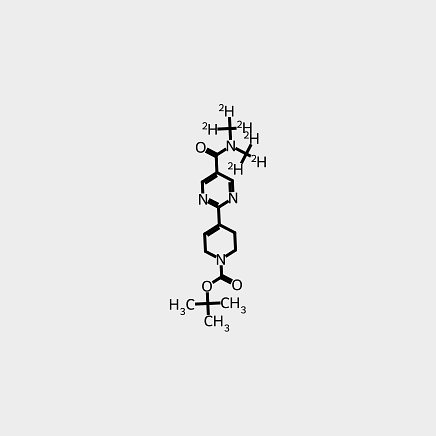 [2H]C([2H])([2H])N(C(=O)c1cnc(C2=CCN(C(=O)OC(C)(C)C)CC2)nc1)C([2H])([2H])[2H]